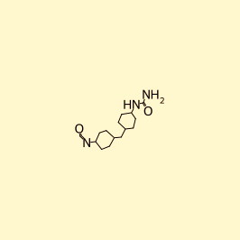 NC(=O)NC1CCC(CC2CCC(N=C=O)CC2)CC1